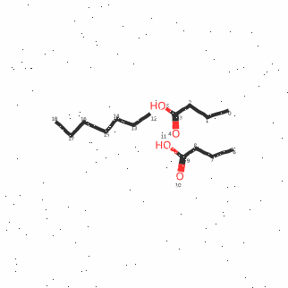 CCCC(=O)O.CCCC(=O)O.CCCCCCC